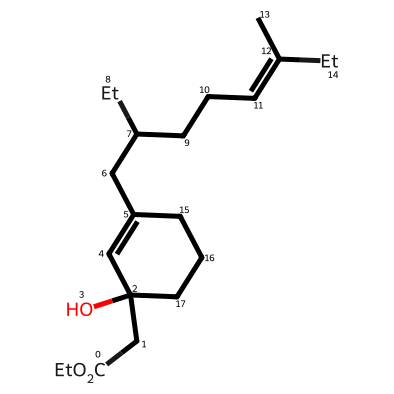 CCOC(=O)CC1(O)C=C(CC(CC)CCC=C(C)CC)CCC1